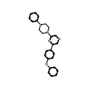 c1ccc(Oc2ccc(-c3cncc(N4CCN(c5ccccc5)CC4)n3)cc2)cc1